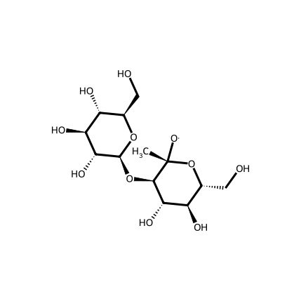 C[C@@]1([O])O[C@H](CO)[C@@H](O)[C@H](O)[C@H]1O[C@@H]1O[C@H](CO)[C@@H](O)[C@H](O)[C@H]1O